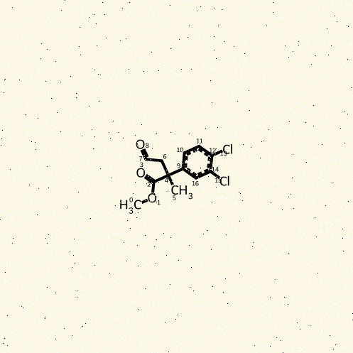 COC(=O)C(C)(CC=O)c1ccc(Cl)c(Cl)c1